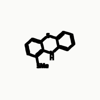 CSc1cccc2c1Nc1ccccc1S2